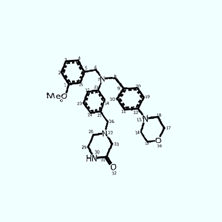 COc1cccc(CN(Cc2ccc(N3CCOCC3)cc2)c2cccc(CN3CCNC(=O)C3)c2)c1